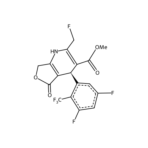 COC(=O)C1=C(CF)NC2=C(C(=O)OC2)[C@@H]1c1cc(F)cc(F)c1C(F)(F)F